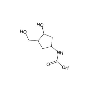 O=C(O)NC1CC(O)C(CO)C1